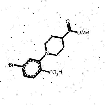 COC(=O)C1CCN(c2cc(Br)ccc2C(=O)O)CC1